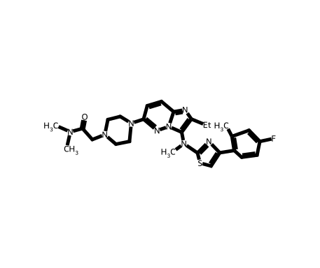 CCc1nc2ccc(N3CCN(CC(=O)N(C)C)CC3)nn2c1N(C)c1nc(-c2ccc(F)cc2C)cs1